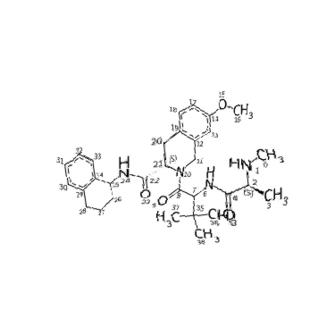 CN[C@@H](C)C(=O)NC(C(=O)N1Cc2cc(OC)ccc2C[C@H]1C(=O)NC1CCCc2ccccc21)C(C)(C)C